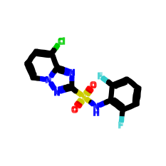 O=S(=O)(Nc1c(F)cccc1F)c1nc2c(Cl)cccn2n1